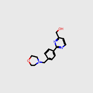 OCc1ccnc(-c2ccc(CN3CCOCC3)cc2)n1